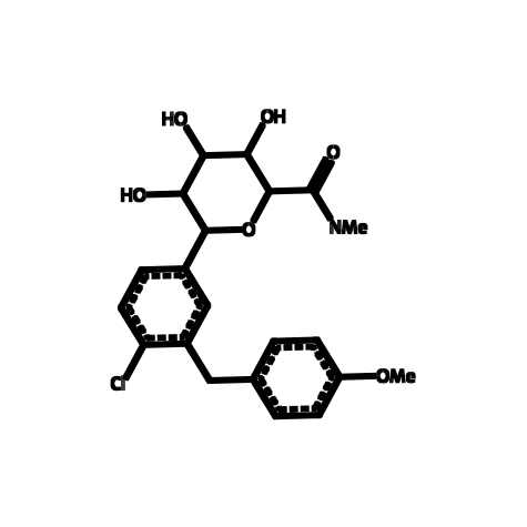 CNC(=O)C1OC(c2ccc(Cl)c(Cc3ccc(OC)cc3)c2)C(O)C(O)C1O